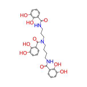 O=C(NCCCCN(CCCNC(=O)c1cccc(O)c1O)C(=O)c1cccc(O)c1O)c1cccc(O)c1O